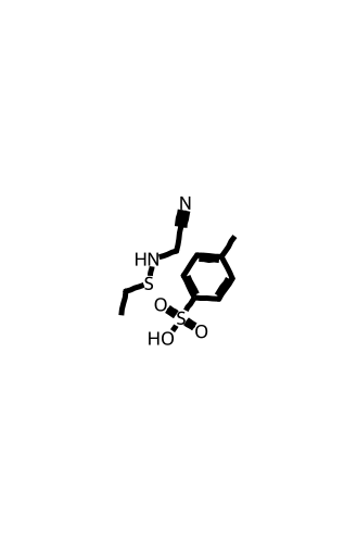 CCSNCC#N.Cc1ccc(S(=O)(=O)O)cc1